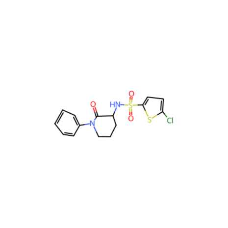 O=C1C(NS(=O)(=O)c2ccc(Cl)s2)CCCN1c1ccccc1